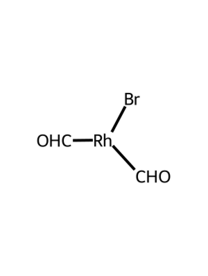 O=[CH][Rh]([Br])[CH]=O